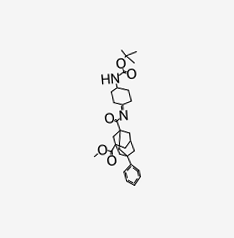 COC(=O)C12CC3CC(C(=O)N=C4CCC(NC(=O)OC(C)(C)C)CC4)(C1)CC(c1ccccc1)(C3)C2